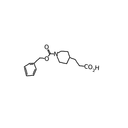 O=C(O)CCC1CCN(C(=O)OCc2ccccc2)CC1